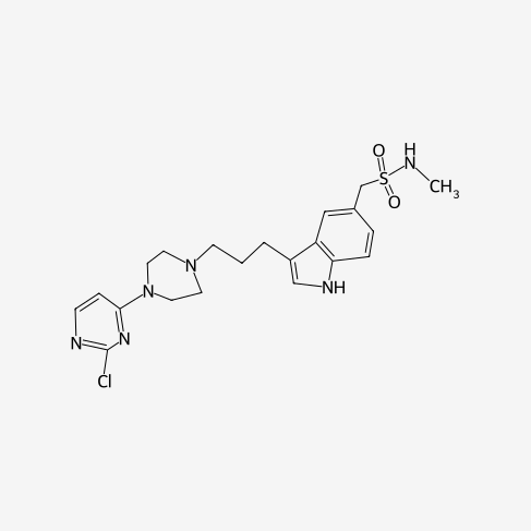 CNS(=O)(=O)Cc1ccc2[nH]cc(CCCN3CCN(c4ccnc(Cl)n4)CC3)c2c1